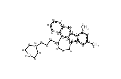 Cc1cc(C)c2c3nc4ccccc4c4c3n(c2c1)CCCN4CCCN1CCOCC1